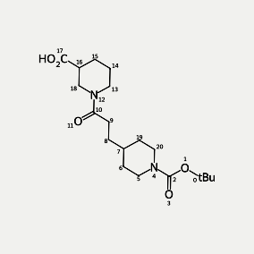 CC(C)(C)OC(=O)N1CCC(CCC(=O)N2CCCC(C(=O)O)C2)CC1